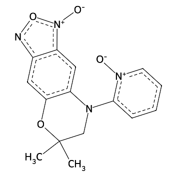 CC1(C)CN(c2cccc[n+]2[O-])c2cc3c(cc2O1)no[n+]3[O-]